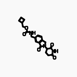 O=C1CCC(N2Cc3ccc(CNC(=O)OCC4CCC4)cc3C2=O)C(=O)N1